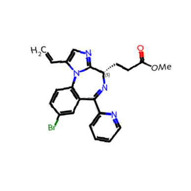 C=Cc1cnc2n1-c1ccc(Br)cc1C(c1ccccn1)=N[C@H]2CCC(=O)OC